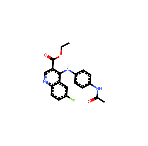 CCOC(=O)c1cnc2ccc(F)cc2c1Nc1ccc(NC(C)=O)cc1